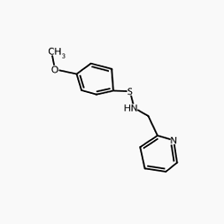 COc1ccc(SNCc2ccccn2)cc1